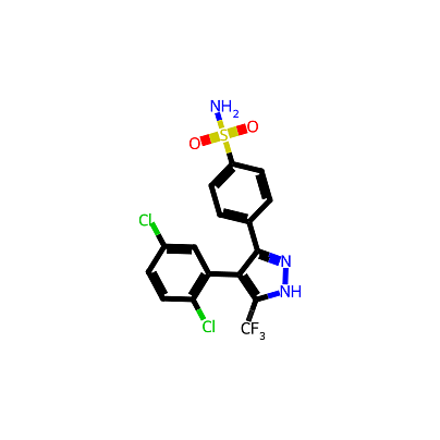 NS(=O)(=O)c1ccc(-c2n[nH]c(C(F)(F)F)c2-c2cc(Cl)ccc2Cl)cc1